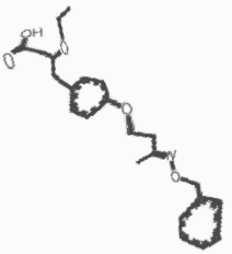 CCOC(Cc1ccc(OCC/C(C)=N/OCc2ccccc2)cc1)C(=O)O